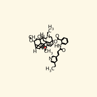 CCc1cncc(/C=C/C(=O)Nc2ccccc2C(=O)O[C@@]23CC[C@H](OC)[C@]45C([C@@H](C[C@H]24)[C@@]2(O)C[C@H](OC)C4[C@H]6C[C@@H]5[C@]2(O)[C@@H]46)N(CC)C3)c1